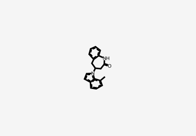 Cc1cccc2ccn(C3CC(=O)Nc4ccccc4C3)c12